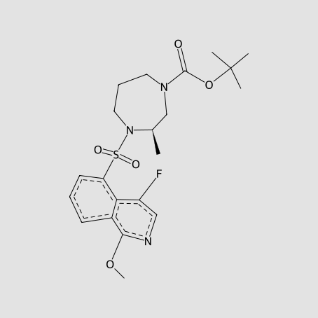 COc1ncc(F)c2c(S(=O)(=O)N3CCCN(C(=O)OC(C)(C)C)C[C@H]3C)cccc12